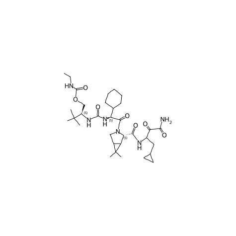 CCNC(=O)OC[C@@H](NC(=O)N[C@H](C(=O)N1CC2C([C@H]1C(=O)NC(CC1CC1)C(=O)C(N)=O)C2(C)C)C1CCCCC1)C(C)(C)C